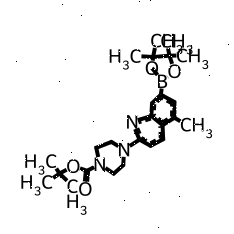 Cc1cc(B2OC(C)(C)C(C)(C)O2)cc2nc(N3CCN(C(=O)OC(C)(C)C)CC3)ccc12